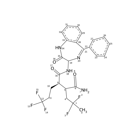 CC(F)(F)CC(C(N)=O)[C@@H](CCC(F)(F)F)C(=O)NC1N=C(c2ccccc2)c2ccccc2NC1=O